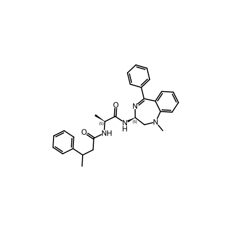 CC(CC(=O)N[C@@H](C)C(=O)N[C@@H]1CN(C)c2ccccc2C(c2ccccc2)=N1)c1ccccc1